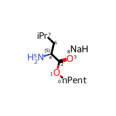 CCCCCOC(=O)[C@@H](N)CC(C)C.[NaH]